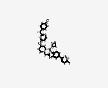 Cc1ccc(-c2ccc3c(c2)nc(CN2CCC(Oc4ccnc(Cc5ccc(Cl)cc5)n4)CC2)n3C[C@@H]2CCO2)nn1